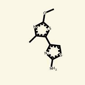 COc1nc(C)c(-c2csc(N)n2)s1